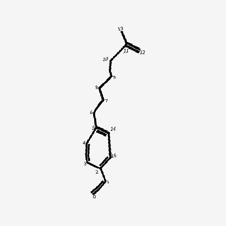 C=Cc1ccc(CCCCCC(=C)C)cc1